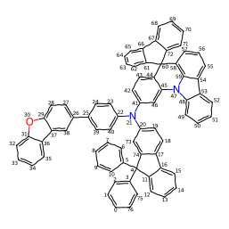 c1ccc(C2(c3ccccc3)c3ccccc3-c3ccc(N(c4ccc(-c5ccc6oc7ccccc7c6c5)cc4)c4ccc5c(c4)-n4c6ccccc6c6cccc(c64)C54c5ccccc5-c5ccccc54)cc32)cc1